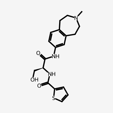 CN1CCc2ccc(NC(=O)[C@H](CO)NC(=O)c3cccs3)cc2CC1